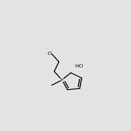 CP1(CCCl)=CC=CC1.Cl